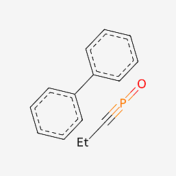 CCC#P=O.c1ccc(-c2ccccc2)cc1